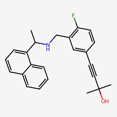 CC(NCc1cc(C#CC(C)(C)O)ccc1F)c1cccc2ccccc12